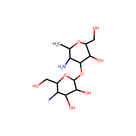 CC1OC(CO)C(O)C(OC2OC(CO)C(I)C(O)C2O)C1N